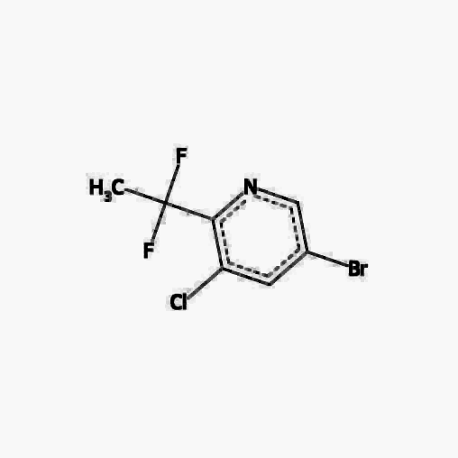 CC(F)(F)c1ncc(Br)cc1Cl